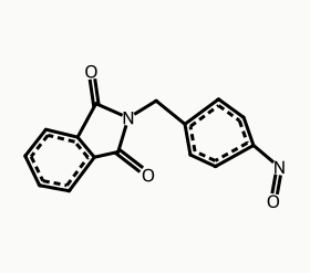 O=Nc1ccc(CN2C(=O)c3ccccc3C2=O)cc1